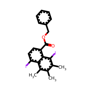 Cc1c(C)c(I)c2c(C(=O)OCc3ccccc3)ccc(I)c2c1C